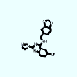 N#Cc1ccc2nc(-n3ccnc3)nc(NCc3ccc4c(c3)OCO4)c2c1